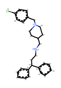 Clc1ccc(CN2CCC(CNCCC(c3ccccc3)c3ccccc3)CC2)cc1